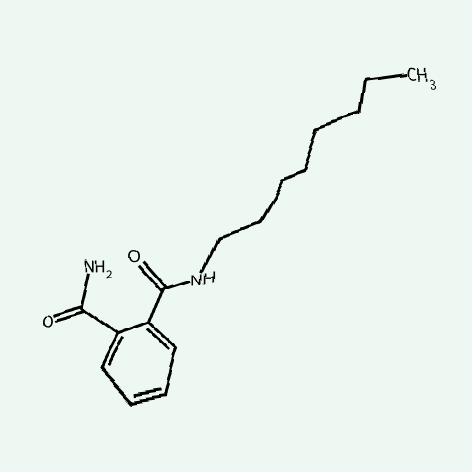 CCCCCCCCNC(=O)c1ccccc1C(N)=O